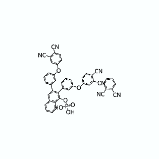 N#Cc1ccc(Oc2cccc(-c3cc4ccccc4c(OP(=O)(O)O)c3-c3cccc(Oc4ccc(C#N)c(C#N)c4)c3)c2)cc1C#N.N#Cc1ccccc1C#N